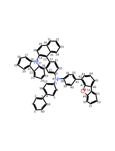 c1ccc(-c2ccc(N(c3ccc(-c4c(-n5c6ccccc6c6ccccc65)ccc5ccccc45)cc3)c3ccc(-c4cccc5c4oc4ccccc45)cc3)cc2)cc1